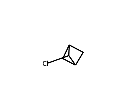 ClC1C2CC1C2